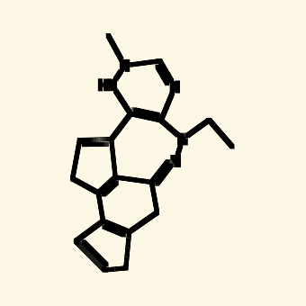 CCn1nc2c3c(c4[nH]n(C)cnc1=4)=CCC=3C1=C(CC=C1)C2